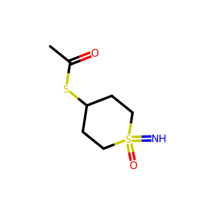 CC(=O)SC1CCS(=N)(=O)CC1